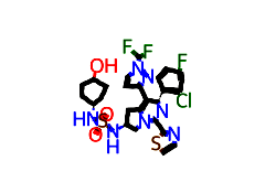 O=S(=O)(N[C@H]1CC2=C(c3ccn(C(F)F)n3)[C@H](c3ccc(F)cc3Cl)N=C(c3nccs3)N2C1)N[C@H]1CC[C@H](O)CC1